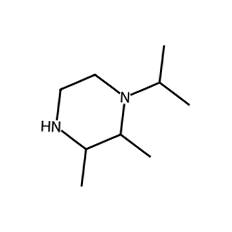 CC1NCCN(C(C)C)C1C